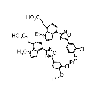 CC(C)Oc1ccc(-c2nc(-c3ccc(CCC(=O)O)c4c3ccn4C)no2)cc1Cl.CCn1ccc2c(-c3noc(-c4ccc(OC(C)C)c(Cl)c4)n3)ccc(CCC(=O)O)c21